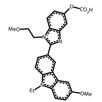 CCn1c2ccc(OC)cc2c2cc(-c3nc4cc(OC(=O)O)ccc4n3CCOC)ccc21